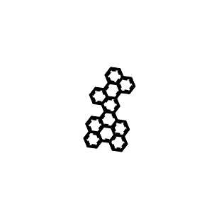 c1cc2cccc3c4cc5c6ccc7cccc8c9cccc%10ccc(c5c5cccc(c(c1)c23)c45)c(c%109)c6c78